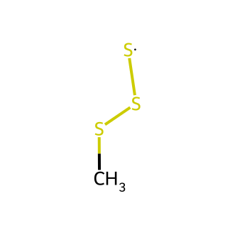 CSS[S]